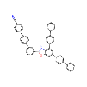 N#Cc1ccc(-c2ccc(-c3cccc(C4Nc5c(cc(C6C=CC(c7ccccc7)=CC6)cc5-c5ccc(-c6ccccc6)cc5)O4)c3)cc2)cc1